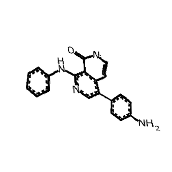 Nc1ccc(-c2cnc(Nc3ccccc3)c3c2C=C[N]C3=O)cc1